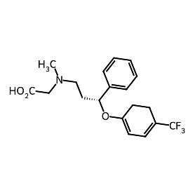 CN(CC[C@@H](OC1=CC=C(C(F)(F)F)CC1)c1ccccc1)CC(=O)O